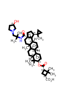 CC(C)(CN1CC[C@@H](O)C1)NC(=O)[C@]12CC[C@@H](C3(C)CC3)[C@@H]1[C@H]1CC[C@@H]3[C@@]4(C)CC[C@H](OC(=O)[C@H]5C[C@@H](C(=O)O)C5(C)C)C(C)(C)[C@@H]4CC[C@@]3(C)[C@]1(C)CC2